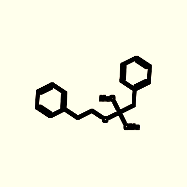 CO[Si](Cc1ccccc1)(OC)OCCc1ccccc1